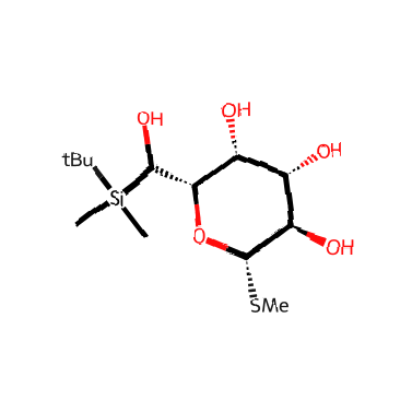 CS[C@@H]1O[C@H](C(O)[Si](C)(C)C(C)(C)C)[C@H](O)[C@H](O)[C@H]1O